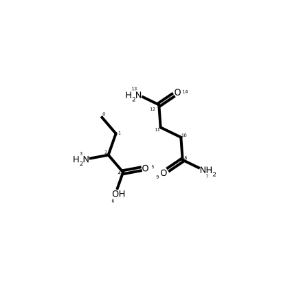 CCC(N)C(=O)O.NC(=O)CCC(N)=O